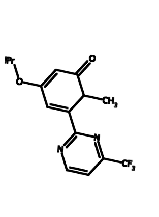 CC(C)OC1=CC(=O)C(C)C(c2nccc(C(F)(F)F)n2)=C1